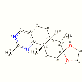 Cc1ncc2c(n1)[C@@]1(C)CCC3(OCCO3)[C@@H](C)[C@@H]1CC2